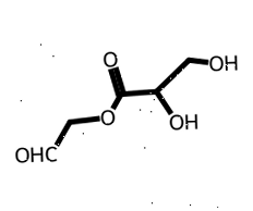 O=CCOC(=O)C(O)CO